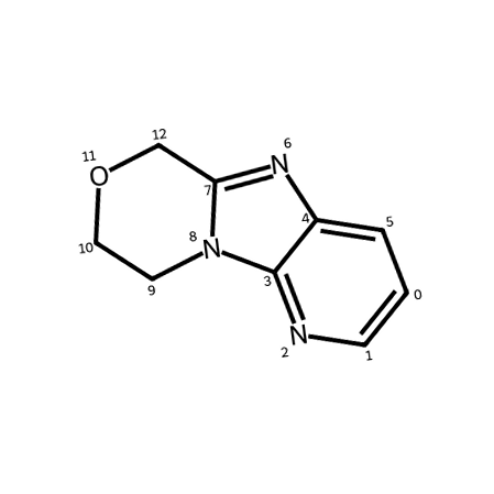 c1cnc2c(c1)nc1n2CCOC1